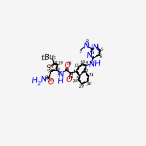 CN(C)c1nccc(Nc2ccc(C(=O)C(=O)Nc3cc(C(C)(C)C)sc3C(N)=O)c3ccccc23)n1